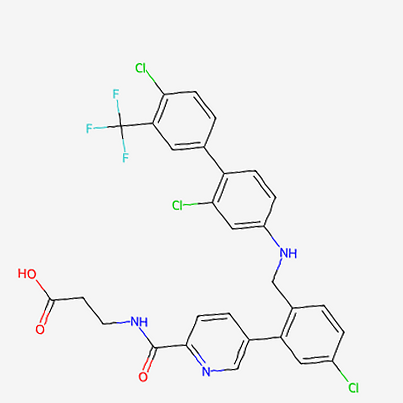 O=C(O)CCNC(=O)c1ccc(-c2cc(Cl)ccc2CNc2ccc(-c3ccc(Cl)c(C(F)(F)F)c3)c(Cl)c2)cn1